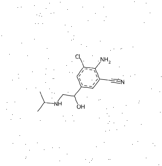 CC(C)NCC(O)c1cc(Cl)c(N)c(C#N)c1